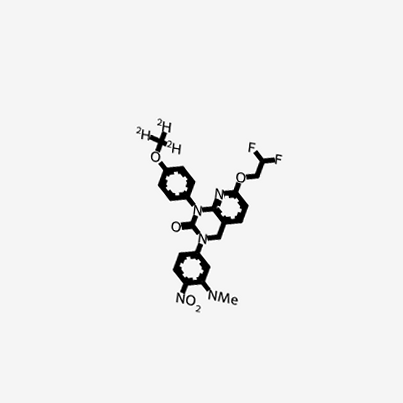 [2H]C([2H])([2H])Oc1ccc(N2C(=O)N(c3ccc([N+](=O)[O-])c(NC)c3)Cc3ccc(OCC(F)F)nc32)cc1